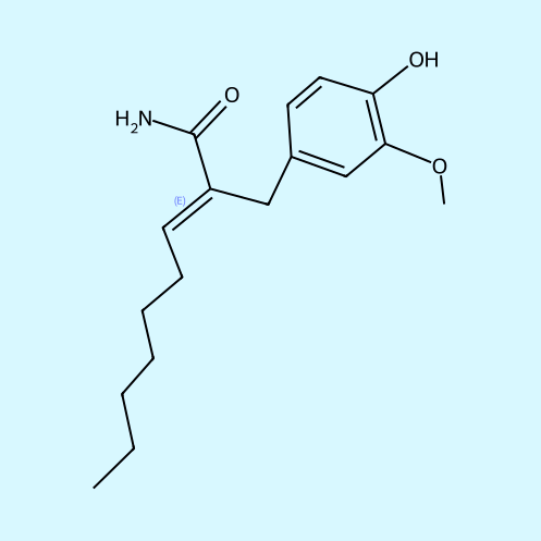 CCCCCC/C=C(\Cc1ccc(O)c(OC)c1)C(N)=O